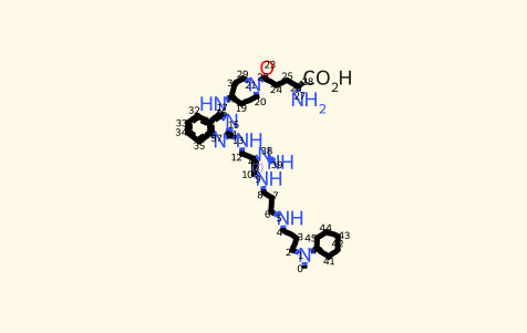 CN(CCCNCCCN/C=C(/CNc1nc(NC2CCN(C(=O)CCC(N)C(=O)O)CC2)c2ccccc2n1)N=N)C1CCCCC1